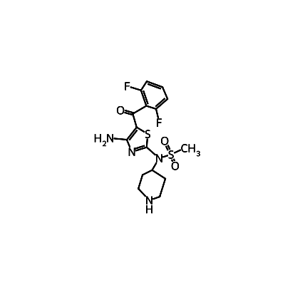 CS(=O)(=O)N(c1nc(N)c(C(=O)c2c(F)cccc2F)s1)C1CCNCC1